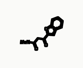 CNC(=O)CC(=O)c1cc2ccccc2o1